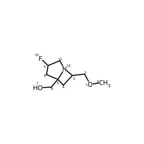 COCC1CC2(CO)CC(F)CN12